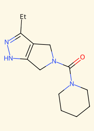 CCc1n[nH]c2c1CN(C(=O)N1CCCCC1)C2